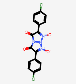 O=c1c(-c2ccc(Cl)cc2)[n+]([O-])n2n1c(=O)c(-c1ccc(Cl)cc1)[n+]2[O-]